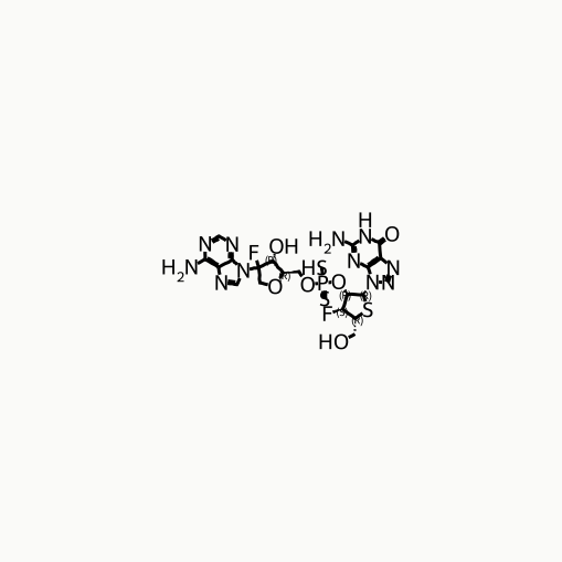 Nc1nc2c(nnn2[C@@H]2S[C@H](CO)[C@@H](F)[C@H]2OP(=S)(S)OC[C@H]2OCC(F)(n3cnc4c(N)ncnc43)[C@@H]2O)c(=O)[nH]1